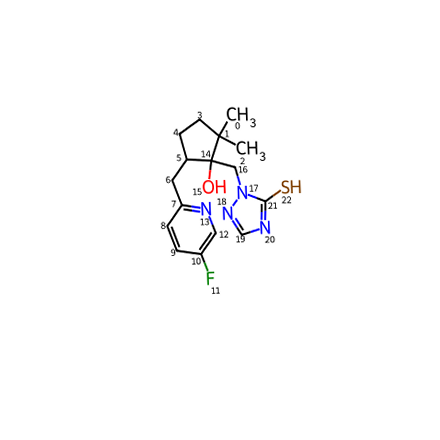 CC1(C)CCC(Cc2ccc(F)cn2)C1(O)Cn1ncnc1S